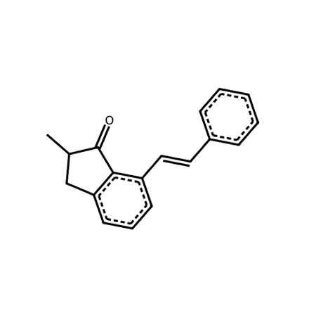 CC1Cc2cccc(C=Cc3ccccc3)c2C1=O